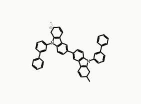 CC1C=Cc2c(n(-c3cccc(-c4ccccc4)c3)c3ccc(-c4ccc5c(c4)c4c(n5-c5cccc(-c6ccccc6)c5)C[C@H](C)C=C4)cc23)C1